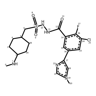 CNC1CCC(CS(=O)(=O)NNC(=O)c2cc(-c3cn(C)cn3)cc(Cl)c2F)CC1